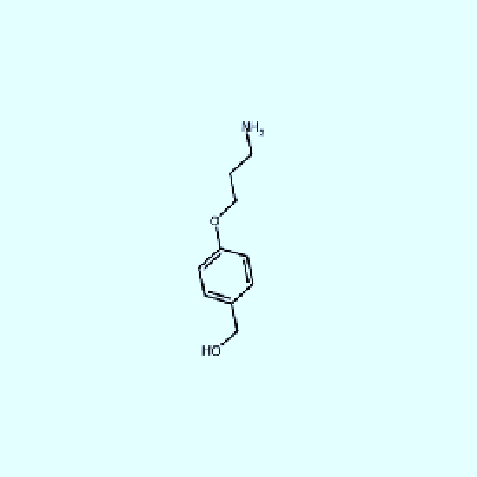 NCCCOc1ccc(CO)cc1